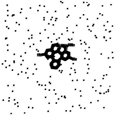 CO[C@H](C)c1cc(C(C)(C)C)cc2c1-c1c3c(cc(C(C)(C)C)cc3cc[n+]1C)-c1ccccc1-2